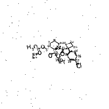 CCOC(C)OC[C@@H]1CCCN(C(=O)C2(c3ccc(Cl)cc3)CCC2)[C@@H]1C(=O)OC(C)C